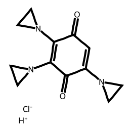 O=C1C=C(N2CC2)C(=O)C(N2CC2)=C1N1CC1.[Cl-].[H+]